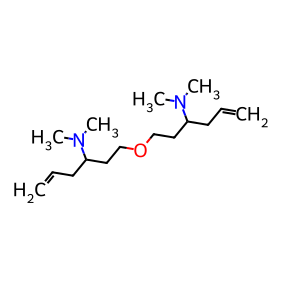 C=CCC(CCOCCC(CC=C)N(C)C)N(C)C